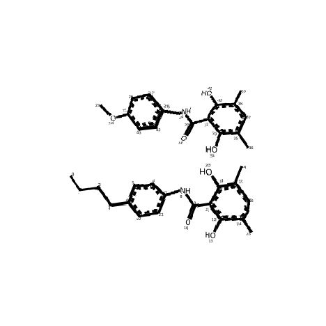 CCCCc1ccc(NC(=O)c2c(O)c(C)cc(C)c2O)cc1.COc1ccc(NC(=O)c2c(O)c(C)cc(C)c2O)cc1